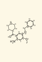 COc1cc(N)c(C(=O)C2CCOCC2)cc1OCc1ccccc1